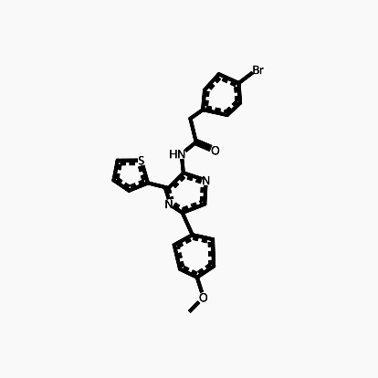 COc1ccc(-c2cnc(NC(=O)Cc3ccc(Br)cc3)c(-c3cccs3)n2)cc1